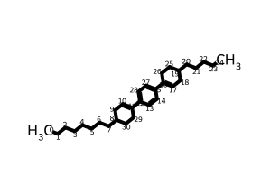 CCCCCCCCC1CC=C(c2ccc(C3=CCC(CCCCC)CC3)cc2)CC1